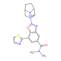 CN(C)C(=O)c1cc(-c2nccs2)c2oc(N3CC4CCC(C3)N4C(=O)O)nc2c1